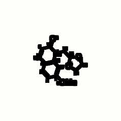 COc1ccc2ncc(=O)n(CC3OCCO3)c2c1